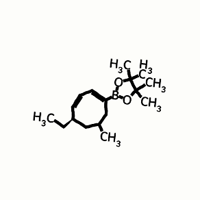 CC[C@H]1/C=C\C=C(\B2OC(C)(C)C(C)(C)O2)CC(C)C1